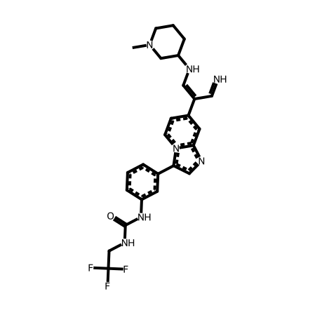 CN1CCCC(N/C=C(\C=N)c2ccn3c(-c4cccc(NC(=O)NCC(F)(F)F)c4)cnc3c2)C1